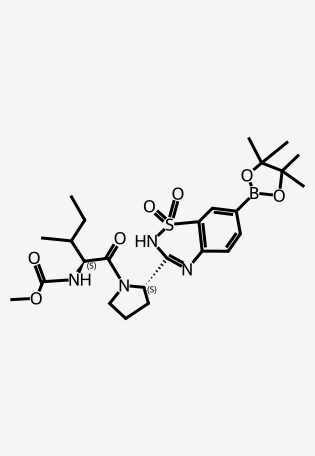 CCC(C)[C@H](NC(=O)OC)C(=O)N1CCC[C@H]1C1=Nc2ccc(B3OC(C)(C)C(C)(C)O3)cc2S(=O)(=O)N1